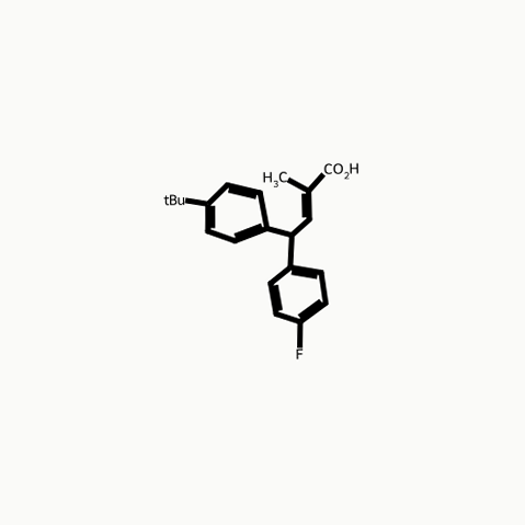 CC(=CC(c1ccc(F)cc1)c1ccc(C(C)(C)C)cc1)C(=O)O